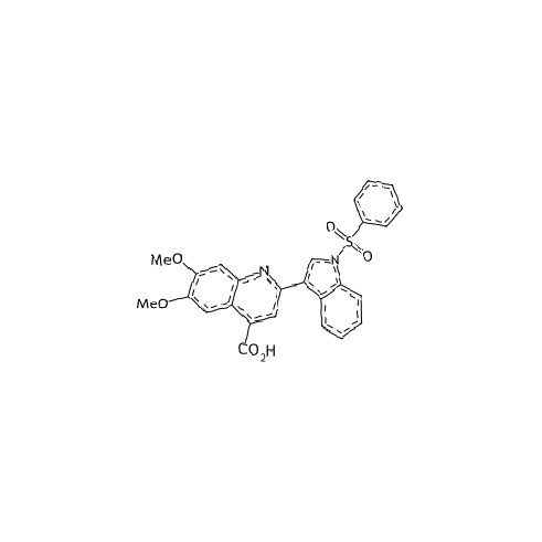 COc1cc2nc(-c3cn(S(=O)(=O)c4ccccc4)c4ccccc34)cc(C(=O)O)c2cc1OC